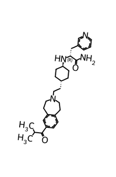 CC(C)C(=O)c1ccc2c(c1)CCN(CC[C@H]1CC[C@H](N[C@H](Cc3cccnc3)C(N)=O)CC1)CC2